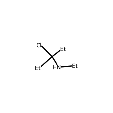 [CH2]CNC(Cl)(CC)CC